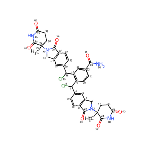 CC1(N2Cc3cc(C(Cl)c4ccc(C(N)=O)cc4C(Cl)c4ccc5c(c4)CN(C4(C)CCC(=O)NC4=O)C5=O)ccc3C2=O)CCC(=O)NC1=O